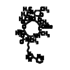 CC[C@H]1OC(=O)[C@H](C)C(=O)C[C@@H](O[C@@H]2O[C@H](C)CC(N(C)C)C2O)[C@](C)(OC)C[C@@H](C)CN[C@H](C)[C@H]2N(CCCCn3cc(-c4cccnn4)nn3)C(=O)O[C@]12C